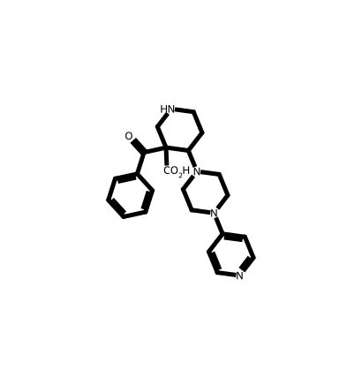 O=C(O)C1(C(=O)c2ccccc2)CNCCC1N1CCN(c2ccncc2)CC1